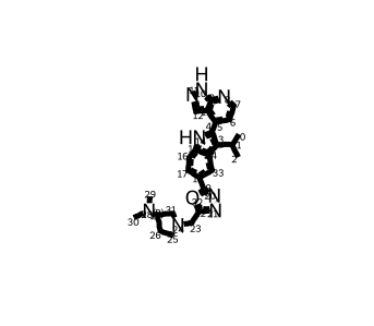 CC(C)c1c(-c2ccnc3[nH]ncc23)[nH]c2ccc(-c3nnc(CN4CC[C@@H](N(C)C)C4)o3)cc12